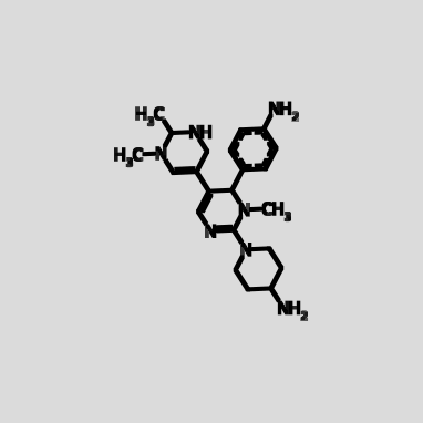 CC1NCC(C2=CN=C(N3CCC(N)CC3)N(C)C2c2ccc(N)cc2)=CN1C